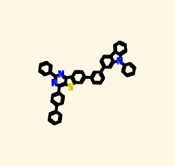 c1ccc(-c2ccc(-c3nc(-c4ccccc4)nc4c3sc3cc(-c5cccc(-c6ccc7c8ccccc8n(-c8ccccc8)c7c6)c5)ccc34)cc2)cc1